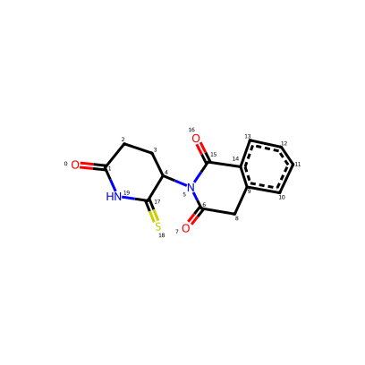 O=C1CCC(N2C(=O)Cc3ccccc3C2=O)C(=S)N1